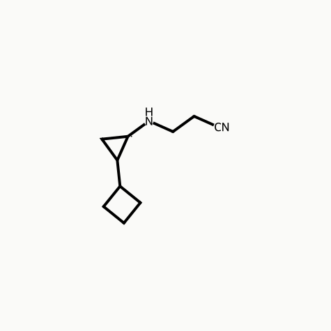 N#CCCN[C]1CC1C1CCC1